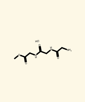 COC(=O)CNC(=O)CNC(=O)CN.Cl